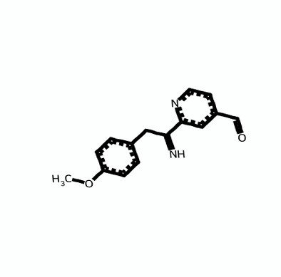 COc1ccc(CC(=N)c2cc(C=O)ccn2)cc1